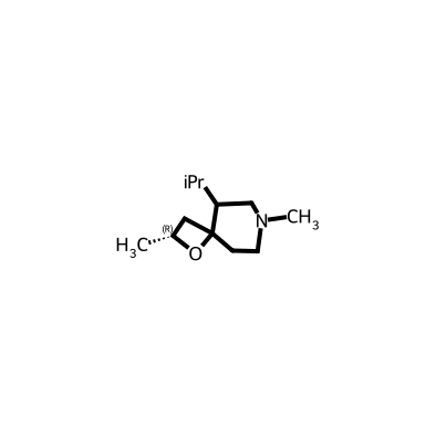 CC(C)C1CN(C)CCC12C[C@@H](C)O2